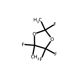 CC1(F)OC(C)(F)C(F)(F)O1